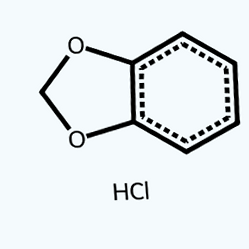 Cl.c1ccc2c(c1)OCO2